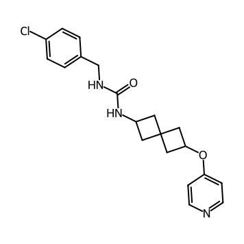 O=C(NCc1ccc(Cl)cc1)NC1CC2(C1)CC(Oc1ccncc1)C2